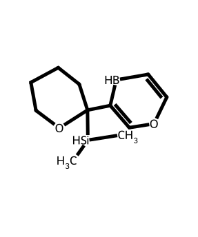 C[SiH](C)C1(C2=COC=CB2)CCCCO1